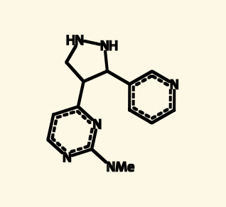 CNc1nccc(C2CNNC2c2cccnc2)n1